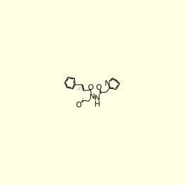 O=[C]CN(NC(=O)Cc1ccccn1)C(=O)/C=C/c1ccccc1